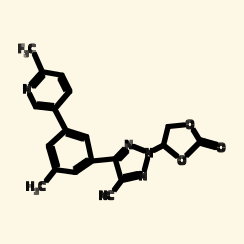 Cc1cc(-c2ccc(C(F)(F)F)nc2)cc(-c2nn(C3COC(=O)O3)nc2C#N)c1